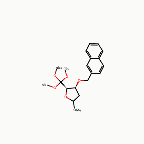 CCCCOC(OCCCC)(OCCCC)[C@@H]1OC(OC)C[C@@H]1OCc1ccc2ccccc2c1